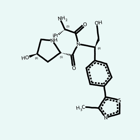 Cc1ncsc1-c1ccc([C@H](CO)N(C(=O)[C@@H]2C[C@@H](O)CN2)C(=O)[C@@H](N)C(C)C)cc1